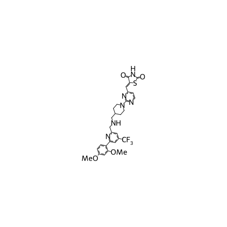 COc1ccc(-c2cc(C(F)(F)F)cc(CNCC3CCN(c4nccc(/C=C5\SC(=O)NC5=O)n4)CC3)n2)c(OC)c1